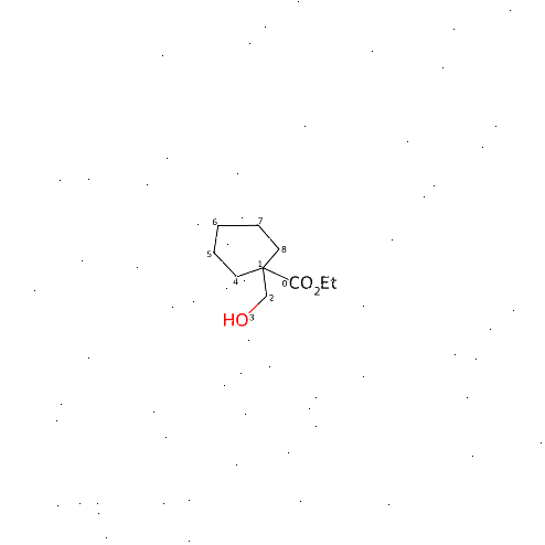 CCOC(=O)C1(CO)CCCCC1